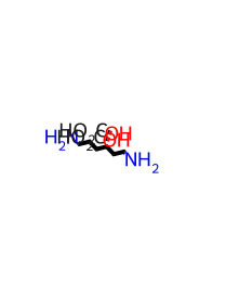 NCCCCCCN.O=C(O)O.O=C(O)O